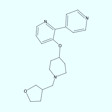 c1cnc(-c2ccncc2)c(OC2CCN(CC3CCOC3)CC2)c1